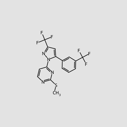 CSc1nccc(-n2nc(C(F)(F)F)cc2-c2cccc(C(F)(F)F)c2)n1